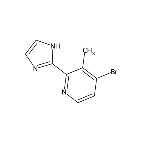 Cc1c(Br)ccnc1-c1ncc[nH]1